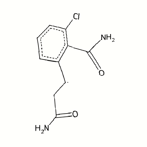 NC(=O)C[CH]c1cccc(Cl)c1C(N)=O